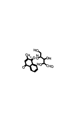 CC1=CC(=O)c2ccccc2C1=O.O=CC(O)C(O)C(O)CO